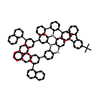 CC(C)(C)c1ccc2c(c1)c1ccccc1n2-c1cc2c3c(c1)N(c1c(-c4ccccc4)cccc1-c1ccccc1)c1ccc(-c4cc(-c5cccc6ccccc56)cc(-c5cccc6ccccc56)c4)cc1B3c1cc(-c3cc(-c4cccc5ccccc45)cc(-c4cccc5ccccc45)c3)ccc1S2